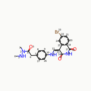 CNN(C)C(=O)Cc1ccc(N/C=C2\C(=O)NC(=O)c3ccc(Br)cc32)cc1